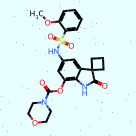 COc1ccccc1S(=O)(=O)Nc1cc(OC(=O)N2CCOCC2)c2c(c1)C1(CCC1)C(=O)N2